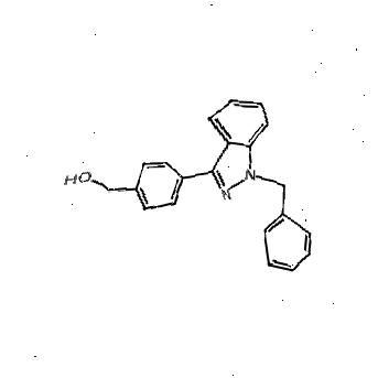 OCc1ccc(-c2nn(Cc3ccccc3)c3ccccc23)cc1